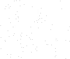 COc1ccc(C(=O)c2ccc(CN3CCCC3)cc2)cc1